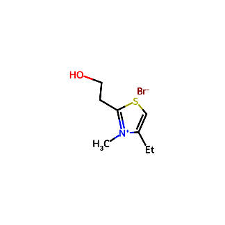 CCc1csc(CCO)[n+]1C.[Br-]